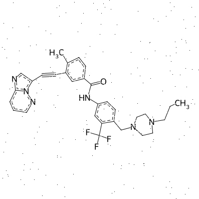 CCCN1CCN(Cc2ccc(NC(=O)c3ccc(C)c(C#Cc4cnc5cccnn45)c3)cc2C(F)(F)F)CC1